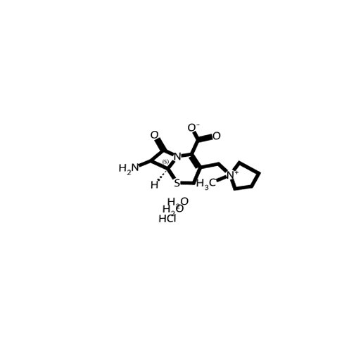 C[N+]1(CC2=C(C(=O)[O-])N3C(=O)C(N)[C@@H]3SC2)CCCC1.Cl.O.O